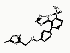 CC1=NC(CNCc2ccc(-c3cccc(S(N)(=O)=O)c3-c3nnn[nH]3)cc2)=NC1